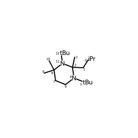 CC(C)CC1(C)N(C(C)(C)C)CCC(C)(C)N1C(C)(C)C